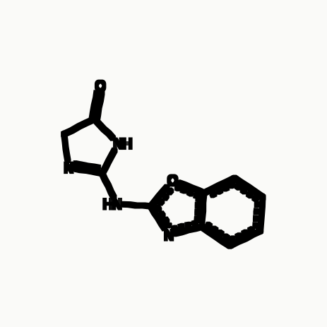 O=C1CN=C(Nc2nc3ccccc3o2)N1